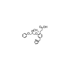 COC(COc1ccccc1)COc1cc(Cn2cccn2)ccc1CCC(=O)O